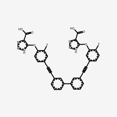 O=C(O)c1nn[nH]c1Oc1ccc(C#Cc2cccc(-c3cccc(C#Cc4ccc(F)c(Oc5[nH]nnc5C(=O)O)c4)c3)c2)cc1F